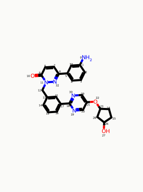 Nc1cccc(-c2ccc(=O)n(Cc3cccc(-c4ncc(OC5CCC(O)C5)cn4)c3)n2)c1